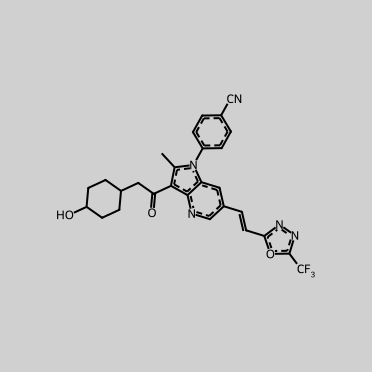 Cc1c(C(=O)CC2CCC(O)CC2)c2ncc(C=Cc3nnc(C(F)(F)F)o3)cc2n1-c1ccc(C#N)cc1